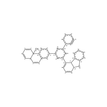 CC12C=CC=CC1C=Cc1cc(-c3nc(C4=CC=CC5Oc6ccccc6C45)nc(-c4c#cccc4)n3)ccc12